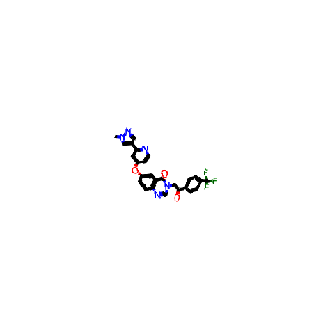 Cn1cc(-c2cc(Oc3ccc4ncn(CC(=O)c5ccc(C(F)(F)F)cc5)c(=O)c4c3)ccn2)cn1